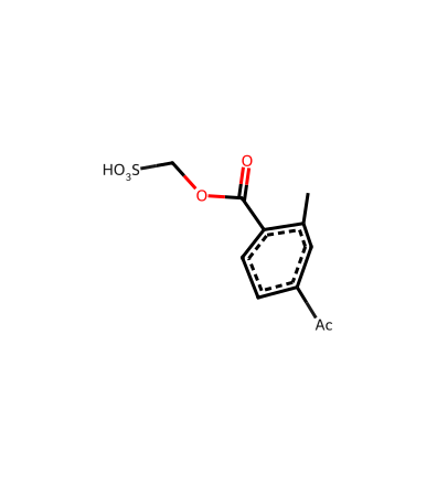 CC(=O)c1ccc(C(=O)OCS(=O)(=O)O)c(C)c1